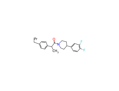 CC(C)Cc1ccc(C(C)C(=O)N2CCC(c3ccc(F)c(F)c3)CC2)cc1